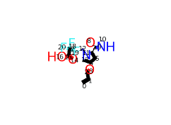 C=CCO[C@@H]1C[C@@H](C(=O)NC)N(C)C1.O=C(O)C(F)(F)F